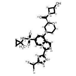 CC1(NS(=O)(=O)c2cc(N3CCO[C@H](C(=O)N4CC(O)C4)C3)c3cnc(-c4nnc(C(F)F)s4)n3c2)CC1